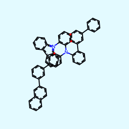 c1ccc(-c2cccc(-c3ccccc3N(c3ccc(-c4cccc(-c5ccc6ccccc6c5)c4)cc3)c3ccccc3-n3c4ccccc4c4ccccc43)c2)cc1